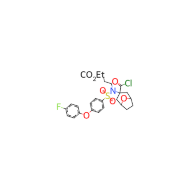 CCOC(=O)CCN(C1(C(=O)Cl)CC2CCC(C1)O2)S(=O)(=O)c1ccc(Oc2ccc(F)cc2)cc1